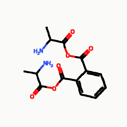 CC(N)C(=O)OC(=O)c1ccccc1C(=O)OC(=O)C(C)N